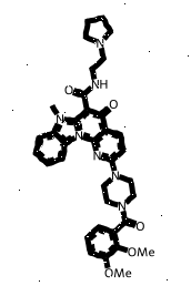 COc1cccc(C(=O)N2CCN(c3ccc4c(=O)c(C(=O)NCCN5CCCC5)c5n(C)c6ccccc6n5c4n3)CC2)c1OC